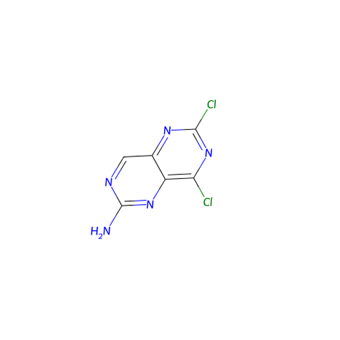 Nc1ncc2nc(Cl)nc(Cl)c2n1